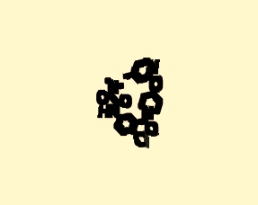 Cc1ccnc(OC2CCN(C(=O)c3cc(NC(=O)C(=O)N(C)C)ccc3Cl)CC2)c1